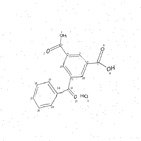 Cl.O=C(O)c1cc(C(=O)O)cc(C(=O)c2ccccc2)c1